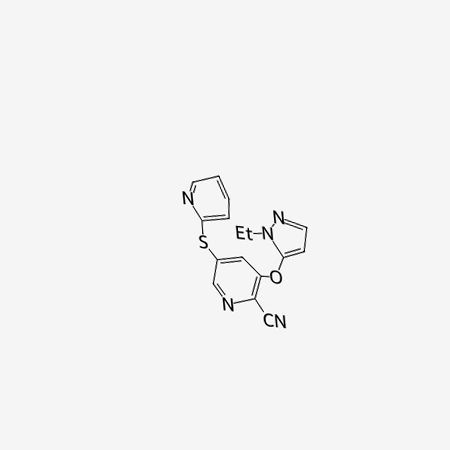 CCn1nccc1Oc1cc(Sc2ccccn2)cnc1C#N